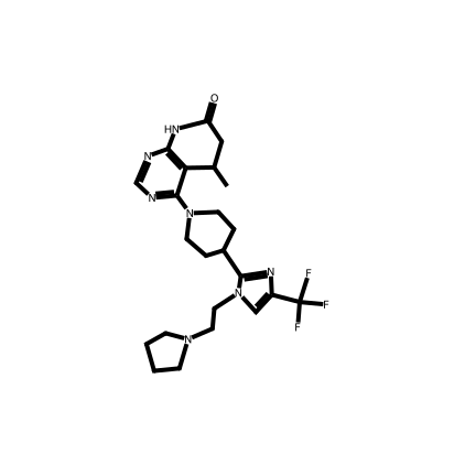 CC1CC(=O)Nc2ncnc(N3CCC(c4nc(C(F)(F)F)cn4CCN4CCCC4)CC3)c21